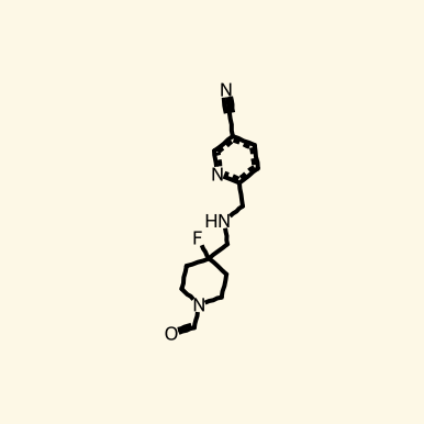 N#Cc1ccc(CNCC2(F)CCN(C=O)CC2)nc1